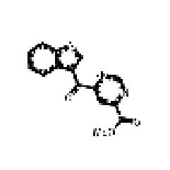 COC(=O)c1cc(C(=O)c2c[nH]c3ccccc23)ncn1